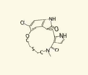 CN1CCSCCOc2cc3c(cc2Cl)NC(=O)/C3=C\c2[nH]ccc2C1=O